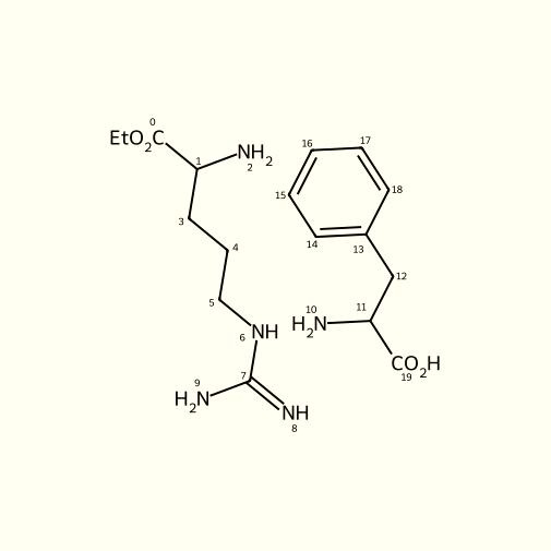 CCOC(=O)C(N)CCCNC(=N)N.NC(Cc1ccccc1)C(=O)O